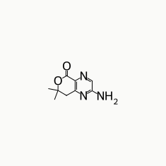 CC1(C)Cc2nc(N)cnc2C(=O)O1